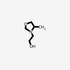 CC1COCN1CCO